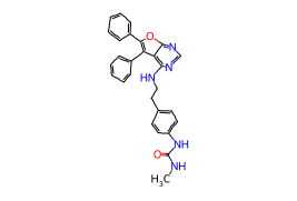 CNC(=O)Nc1ccc(CCNc2ncnc3oc(-c4ccccc4)c(-c4ccccc4)c23)cc1